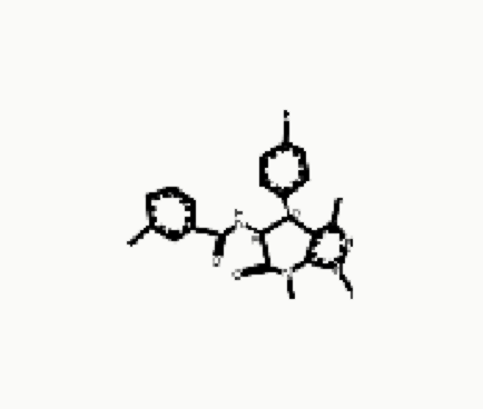 Cc1cccc(C(=O)N[C@@H]2C(=O)N(C)c3c(c(C)nn3I)[C@@H]2c2ccc(F)cc2)c1